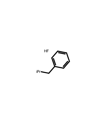 CC(C)Cc1ccccc1.F